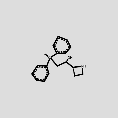 C[Si](C[C@@H](O)[C@@H]1CCN1)(c1ccccc1)c1ccccc1